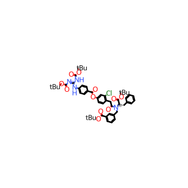 CC(C)(C)OC(=O)/N=C(/NC(=O)OC(C)(C)C)Nc1ccc(C(=O)Oc2ccc(CC(=O)N(Cc3cccc(C(=O)OC(C)(C)C)c3)[C@@H](Cc3ccccc3)C(=O)OC(C)(C)C)c(Cl)c2)cc1